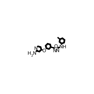 Cc1cccc(Nc2nnc(-c3cccc(Oc4ccnc(N)c4)c3)o2)c1